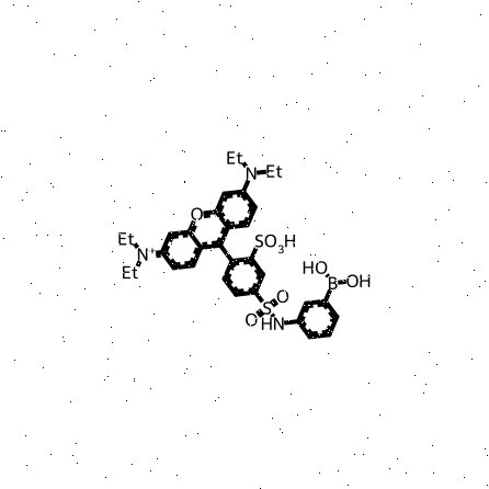 CCN(CC)c1ccc2c(-c3ccc(S(=O)(=O)Nc4cccc(B(O)O)c4)cc3S(=O)(=O)O)c3ccc(=[N+](CC)CC)cc-3oc2c1